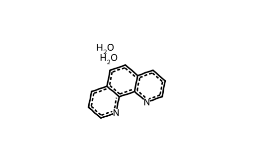 O.O.c1cnc2c(c1)ccc1cccnc12